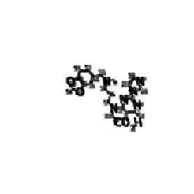 Cc1cc(N(CCCN(C)Cc2ccc3c(c2)OCO3)CC(=O)O)nc(-n2ccnc2)n1